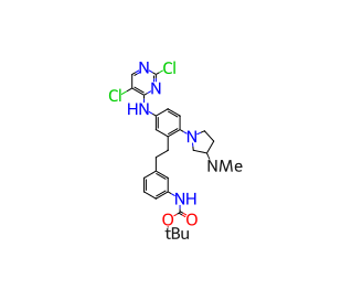 CNC1CCN(c2ccc(Nc3nc(Cl)ncc3Cl)cc2CCc2cccc(NC(=O)OC(C)(C)C)c2)C1